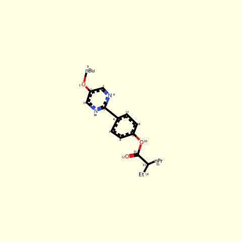 CCCCOc1cnc(-c2ccc(OC(=O)C(CC)CCC)cc2)nc1